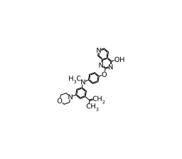 C=C(C)c1cc(N2CCOCC2)cc(N(C)c2ccc(Oc3nc(O)c4ccncc4n3)cc2)c1